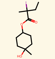 CCC(C)(I)C(=O)OC1CCC(C)(O)CC1